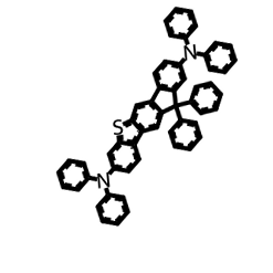 c1ccc(N(c2ccccc2)c2ccc3c(c2)C(c2ccccc2)(c2ccccc2)c2cc4c(cc2-3)sc2cc(N(c3ccccc3)c3ccccc3)ccc24)cc1